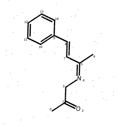 CC(=O)C/N=C(C)\C=C\c1ccccc1